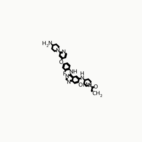 C=CC(=O)N1CCC(Nc2cc3c(Nc4ccc(Oc5ccnc(N6CCC(N)CC6)c5)cc4F)ncnc3cc2OC)CC1